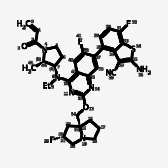 C=CC(=O)N1CC[C@@H](N(CC)c2nc(OC[C@@]34CCCN3C[C@H](F)C4)nc3cc(-c4ccc(F)c5sc(N)c(C#N)c45)c(F)cc23)[C@H]1C